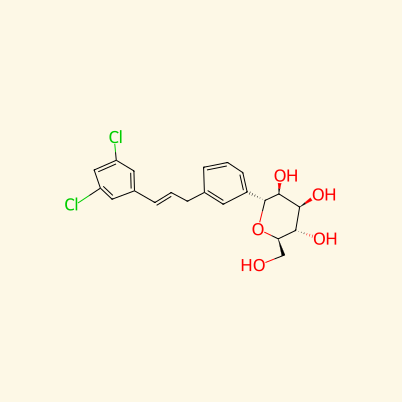 OC[C@H]1O[C@H](c2cccc(C/C=C/c3cc(Cl)cc(Cl)c3)c2)[C@@H](O)[C@@H](O)[C@@H]1O